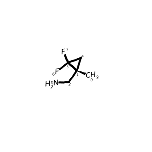 C[C@]1(CN)CC1(F)F